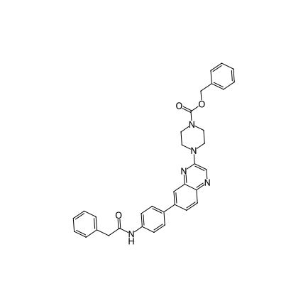 O=C(Cc1ccccc1)Nc1ccc(-c2ccc3ncc(N4CCN(C(=O)OCc5ccccc5)CC4)nc3c2)cc1